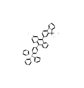 Cc1ccc2c(-c3ccc([Si](c4ccccc4)(c4ccccc4)c4ccccc4)cc3)c3ccccc3c(-c3ccc4c(c3)C(C)(C)c3ccccc3-4)c2c1